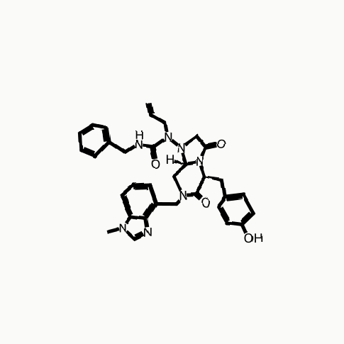 C=CCN(C(=O)NCc1ccccc1)N1CC(=O)N2[C@@H](Cc3ccc(O)cc3)C(=O)N(Cc3cccc4c3ncn4C)C[C@@H]21